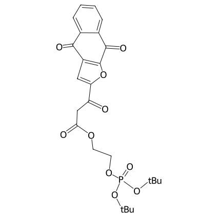 CC(C)(C)OP(=O)(OCCOC(=O)CC(=O)c1cc2c(o1)C(=O)c1ccccc1C2=O)OC(C)(C)C